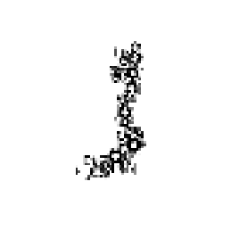 CCN(C)S(=O)(=O)Nc1ccc(F)c(Oc2ccc3ncn([C@@H]4COC5(CCN(C(=O)CN6CCC(c7ccc(N8CCC(=O)NC8=O)cc7OS(=O)(=O)F)CC6)CC5)C4)c(=O)c3c2)c1C#N